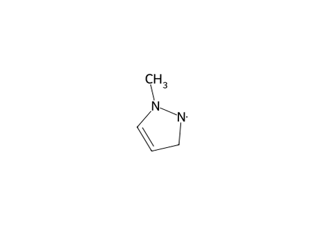 CN1C=CC[N]1